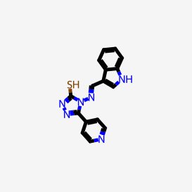 Sc1nnc(-c2ccncc2)n1N=Cc1c[nH]c2ccccc12